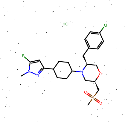 Cl.Cn1nc(C2CCC(N3C[C@H](CS(C)(=O)=O)OC[C@@H]3Cc3ccc(Cl)cc3)CC2)cc1F